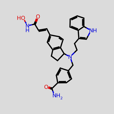 NC(=O)c1ccc(CN(CCc2c[nH]c3ccccc23)C2CCc3cc(C=CC(=O)NO)ccc32)cc1